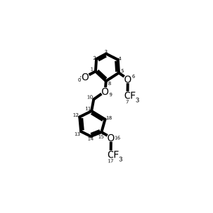 [O]c1cccc(OC(F)(F)F)c1OCc1cccc(OC(F)(F)F)c1